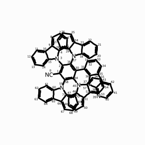 N#Cc1c(-n2c3ccccc3c3ccccc32)c(-n2c3ccccc3c3ccccc32)c(-c2cccc3c2sc2ncccc23)c(-n2c3ccccc3c3ccccc32)c1-n1c2ccccc2c2ccccc21